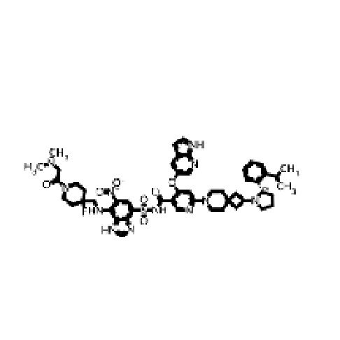 CC(C)c1ccccc1[C@@H]1CCCN1C1CC2(CCN(c3cc(Oc4cnc5[nH]ccc5c4)c(C(=O)NS(=O)(=O)c4cc([N+](=O)[O-])c(NCC5(F)CCN(C(=O)CN(C)C)CC5)c5[nH]cnc45)cn3)CC2)C1